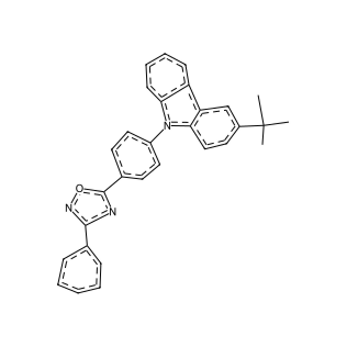 CC(C)(C)c1ccc2c(c1)c1ccccc1n2-c1ccc(-c2nc(-c3ccccc3)no2)cc1